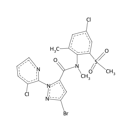 Cc1cc(Cl)cc(S(C)(=O)=O)c1N(C)C(=O)c1cc(Br)nn1-c1ncccc1Cl